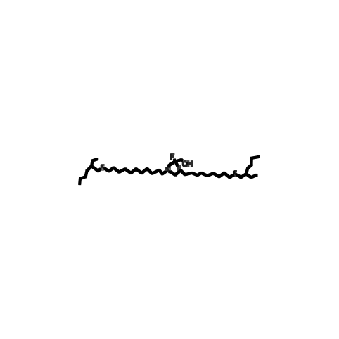 CCCCC(CC)CSCCCCCCCCCCCN(CCCCCCCCCCCSCC(CC)CCCC)CC(F)(F)CO